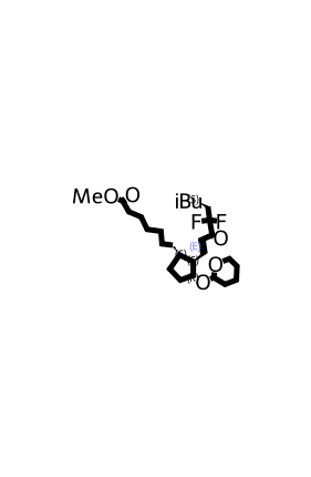 CC[C@H](C)CC(F)(F)C(=O)/C=C/[C@@H]1[C@@H](CCCCCCC(=O)OC)CC[C@H]1OC1CCCCO1